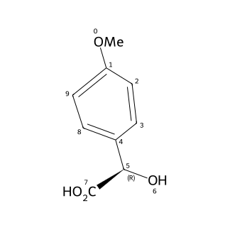 COc1ccc([C@@H](O)C(=O)O)cc1